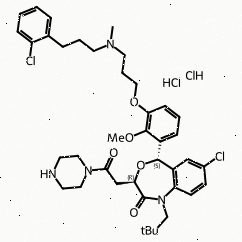 COc1c(OCCCN(C)CCCc2ccccc2Cl)cccc1[C@H]1O[C@H](CC(=O)N2CCNCC2)C(=O)N(CC(C)(C)C)c2ccc(Cl)cc21.Cl.Cl